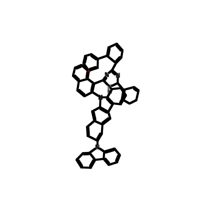 C1=CC(C2N=C(c3ccccc3-c3ccccc3)N=C(c3c(-n4c5c(c6cc7cc(-n8c9ccccc9c9ccccc98)ccc7cc64)C=CCC5)ccc4ccccc34)N2)=CCC1